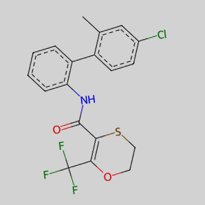 Cc1cc(Cl)ccc1-c1ccccc1NC(=O)C1=C(C(F)(F)F)OCCS1